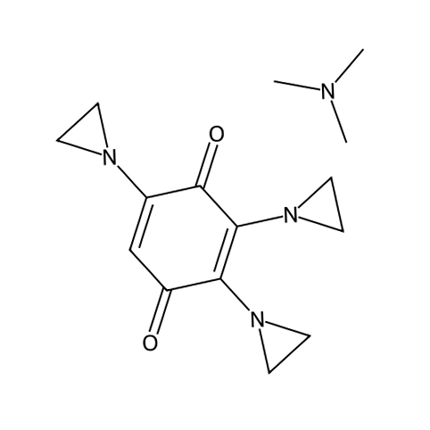 CN(C)C.O=C1C=C(N2CC2)C(=O)C(N2CC2)=C1N1CC1